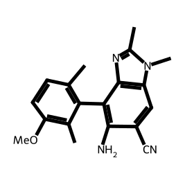 COc1ccc(C)c(-c2c(N)c(C#N)cc3c2nc(C)n3C)c1C